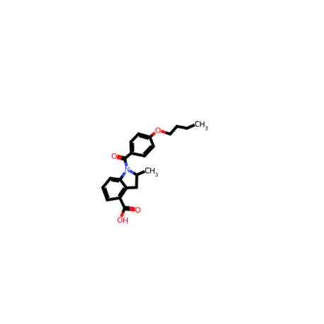 CCCCOc1ccc(C(=O)N2c3cccc(C(=O)O)c3CC2C)cc1